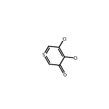 O=C1C=S=CC(Cl)=C1Cl